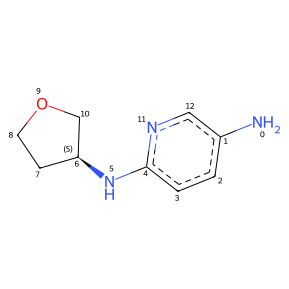 Nc1ccc(N[C@H]2CCOC2)nc1